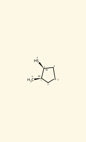 C[C@@H]1CSC[C@@H]1S